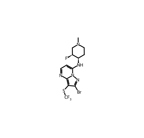 CN1CC[C@@H](Nc2ccnc3c(SC(F)(F)F)c(Br)nn23)[C@@H](F)C1